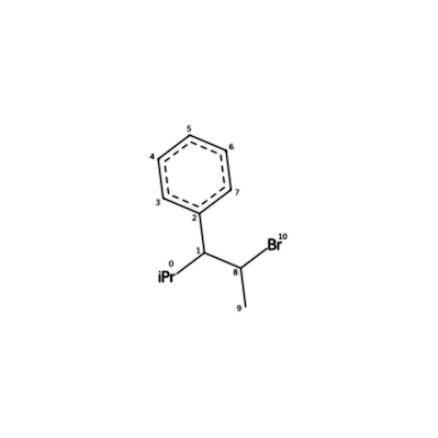 CC(C)C(c1ccccc1)C(C)Br